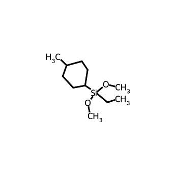 CC[Si](OC)(OC)C1CCC(C)CC1